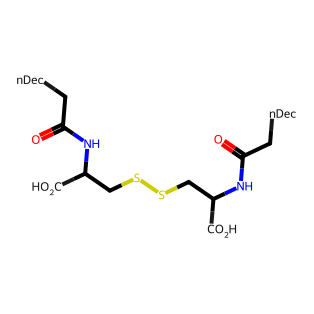 CCCCCCCCCCCC(=O)NC(CSSCC(NC(=O)CCCCCCCCCCC)C(=O)O)C(=O)O